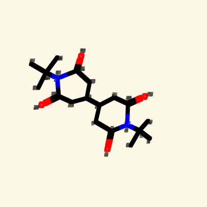 CC(C)(C)N1C(=O)CC(C2CC(=O)N(C(C)(C)C)C(=O)C2)CC1=O